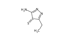 CCC1=NN=C(N)S1=S